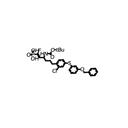 CC(C)(C)OC(=O)NC(/C=C(\F)P(=O)(O)O)CCCc1ccc(Sc2cccc(OCc3ccccc3)c2)cc1Cl